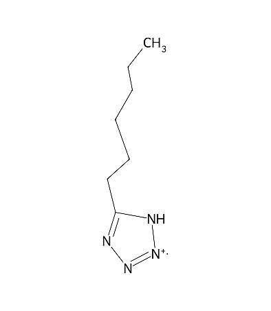 CCCCCCC1=NN=[N+]N1